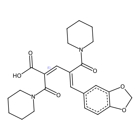 O=C(O)/C(=C/C(=Cc1ccc2c(c1)OCO2)C(=O)N1CCCCC1)C(=O)N1CCCCC1